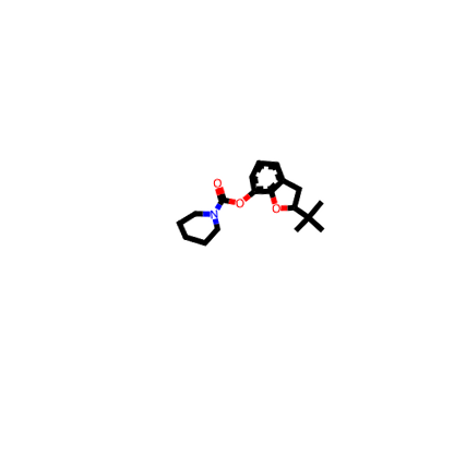 CC(C)(C)C1Cc2cccc(OC(=O)N3CCCCC3)c2O1